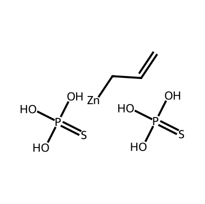 C=C[CH2][Zn].OP(O)(O)=S.OP(O)(O)=S